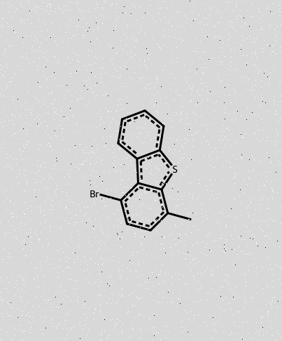 Cc1ccc(Br)c2c1sc1ccccc12